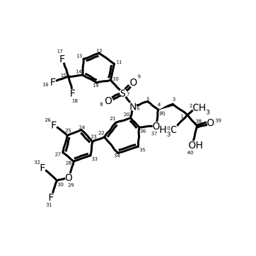 CC(C)(C[C@@H]1CN(S(=O)(=O)c2cccc(C(F)(F)F)c2)c2cc(-c3cc(F)cc(OC(F)F)c3)ccc2O1)C(=O)O